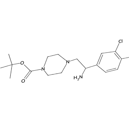 CC(C)(C)OC(=O)N1CCN(CC(N)c2ccc(Cl)c(Cl)c2)CC1